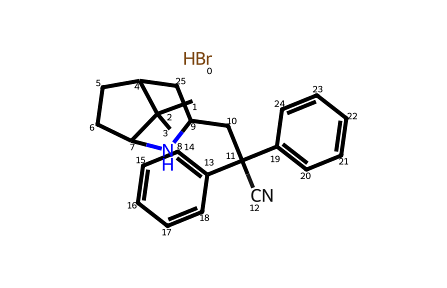 Br.CC1(C)C2CCC1NC(CC(C#N)(c1ccccc1)c1ccccc1)C2